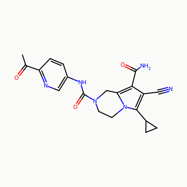 CC(=O)c1ccc(NC(=O)N2CCn3c(c(C(N)=O)c(C#N)c3C3CC3)C2)cn1